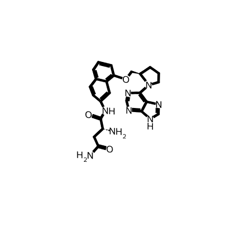 NC(=O)C[C@@H](N)C(=O)Nc1ccc2cccc(OC[C@H]3CCCN3c3ncnc4[nH]cnc34)c2c1